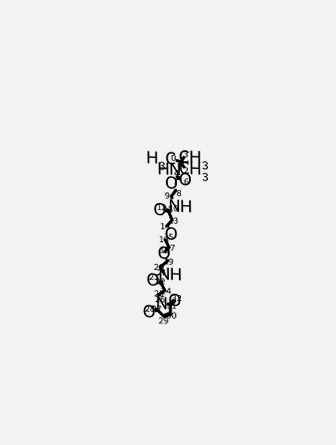 CC(C)(C)NC(=O)OCCNC(=O)CCOCCOCCNC(=O)CCN1C(=O)C=CC1=O